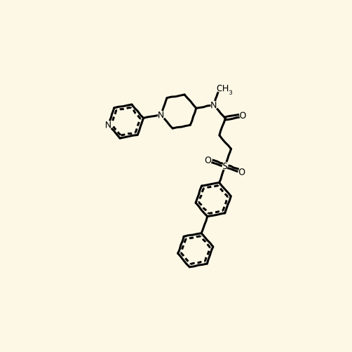 CN(C(=O)CCS(=O)(=O)c1ccc(-c2ccccc2)cc1)C1CCN(c2ccncc2)CC1